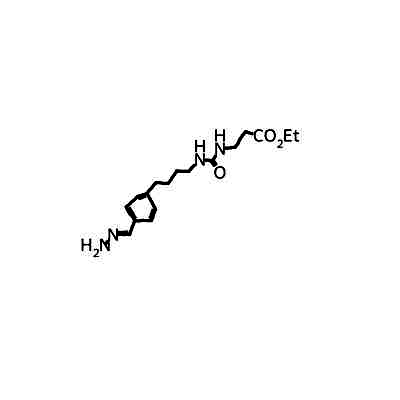 CCOC(=O)CCNC(=O)NCCCCc1ccc(C=NN)cc1